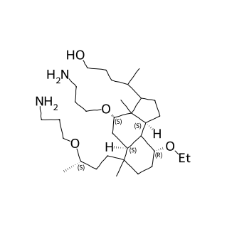 CCO[C@@H]1CCC(C)(CC[C@H](C)OCCCN)[C@H]2C[C@H](OCCCN)C3(C)C(C(C)CCCO)CC[C@H]3C12